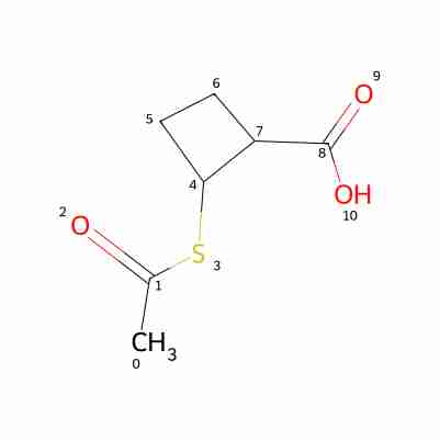 CC(=O)SC1CCC1C(=O)O